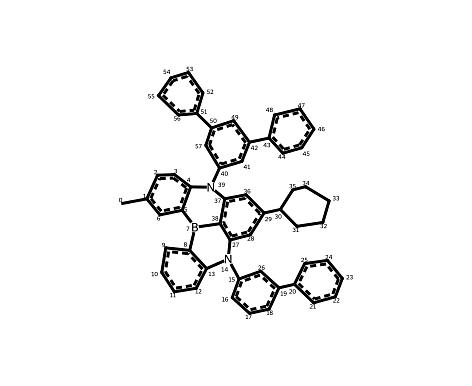 Cc1ccc2c(c1)B1c3ccccc3N(c3cccc(-c4ccccc4)c3)c3cc(C4CCCCC4)cc(c31)N2c1cc(-c2ccccc2)cc(-c2ccccc2)c1